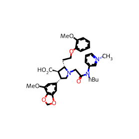 CCCCN(C(=O)CN1C[C@H](c2cc(OC)c3c(c2)OCO3)[C@@H](C(=O)O)[C@@H]1CCOc1ccccc1OC)c1ccc[n+](C)c1